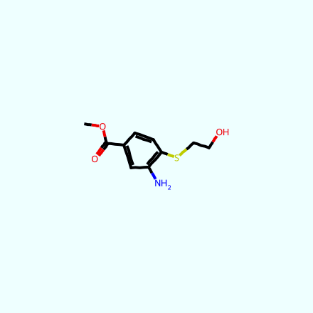 COC(=O)c1ccc(SCCO)c(N)c1